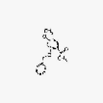 COc1ccc(C(C)=O)c(OCc2ccccc2)c1